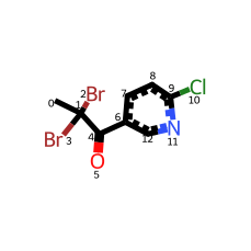 CC(Br)(Br)C(=O)c1ccc(Cl)nc1